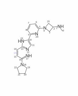 CNC1CN(c2cccc(-c3cnc(/C=C\C(=N)N4CCCC4)[nH]3)n2)C1